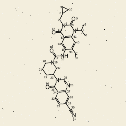 CC(C)n1c(=O)n(CC2CC2)c(=O)c2cc(NC(=O)N3CCCC(n4cnc5cc(C#N)ccc5c4=O)C3)c(F)cc21